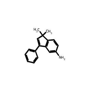 CC1(C)C=C(c2ccccc2)c2cc(N)ccc21